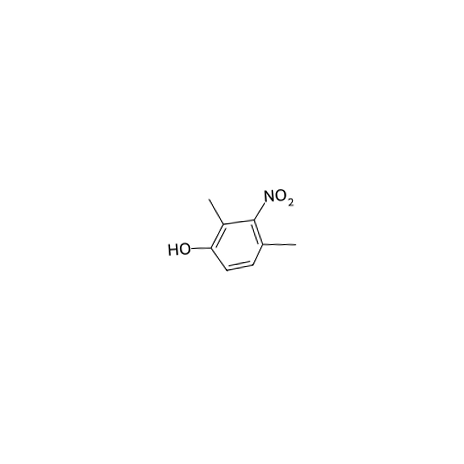 Cc1ccc(O)c(C)c1[N+](=O)[O-]